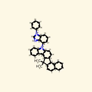 CC1(C)c2ccc3ccccc3c2-c2ccc3c(c21)c1ccccc1n3-c1cccc2c1ncn2-c1ccccc1